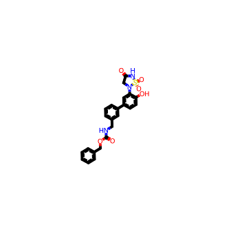 O=C1CN(c2cc(-c3cccc(CNC(=O)OCc4ccccc4)c3)ccc2O)S(=O)(=O)N1